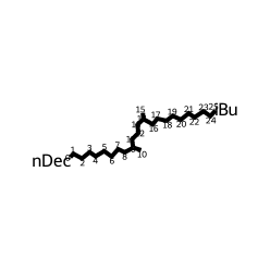 CCCCCCCCCCCCCCCCCCC(C)CCCC(C)CCCCCCCCCC(C)CC